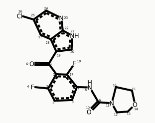 O=C(c1c(F)ccc(NC(=O)N2CCOCC2)c1F)c1c[nH]c2ncc(Cl)cc12